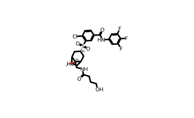 C[C@H]1CC2C[C@@H](S(=O)(=O)c3cc(C(=O)Nc4cc(F)c(F)c(F)c4)ccc3Cl)CC1[C@@]2(O)CNC(=O)CCCO